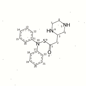 O=C(CC1CNCCN1)SN(c1ccccc1)c1ccccc1